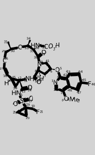 COc1cnc(O[C@@H]2C[C@H]3C(=O)N[C@]4(C(=O)NS(=O)(=O)C5(CF)CC5)C[C@H]4C=CCC[C@@H](C)C[C@@H](C)[C@H](NC(=O)O)C(=O)N3C2)c2ccc(F)cc12